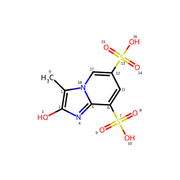 Cc1c(O)nc2c(S(=O)(=O)O)cc(S(=O)(=O)O)cn12